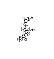 COc1cc(C(=O)NCC(O)(c2cc3c(c(-c4ccc(OC(F)(F)F)c(Cl)c4)n2)OC[C@]3(C)C(N)=O)C(F)(F)F)cc2cn(C3CC3)nc12